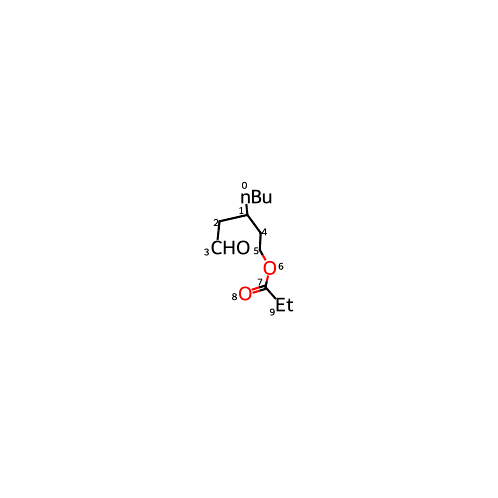 CCCCC(CC=O)CCOC(=O)CC